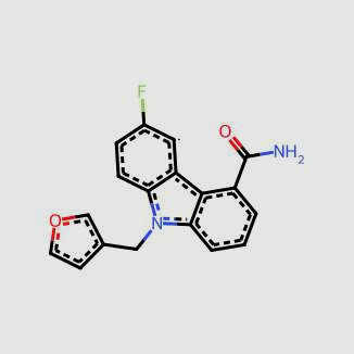 NC(=O)c1cccc2c1c1[c]c(F)ccc1n2Cc1ccoc1